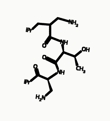 CC(C)CC(CN)C(=O)N[C@H](C(=O)N[C@@H](CN)C(=O)C(C)C)[C@H](C)O